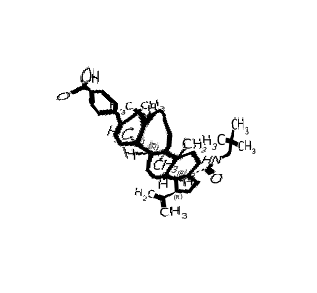 C=C(C)[C@@H]1CC[C@]2(C(=O)NCC(C)(C)C)CC[C@]3(C)[C@H](CC[C@@H]4[C@@]5(C)CC=C(c6ccc(C(=O)O)cc6)C(C)(C)[C@@H]5CC[C@]43C)[C@@H]12